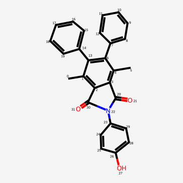 Cc1c2c(c(C)c(-c3ccccc3)c1-c1ccccc1)C(=O)N(c1ccc(O)cc1)C2=O